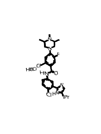 CC(C)c1cnc(-c2cc(NC(=O)c3cc(F)c(N4CC(C)N(C)C(C)C4)cc3Cl)ccc2Cl)[nH]1.Cl.Cl